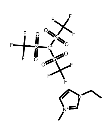 CCn1cc[n+](C)c1.O=S(=O)([C-](S(=O)(=O)C(F)(F)F)S(=O)(=O)C(F)(F)F)C(F)(F)F